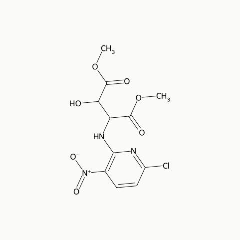 COC(=O)C(O)C(Nc1nc(Cl)ccc1[N+](=O)[O-])C(=O)OC